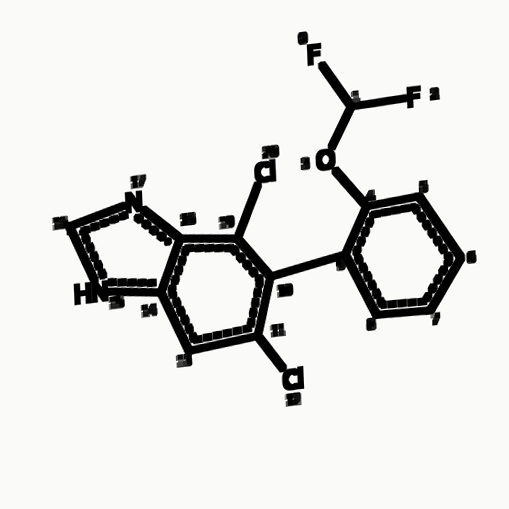 FC(F)Oc1ccccc1-c1c(Cl)cc2[nH][c]nc2c1Cl